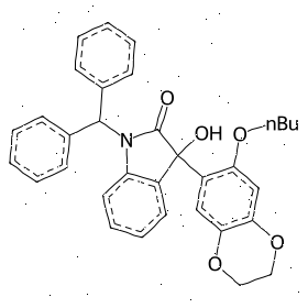 CCCCOc1cc2c(cc1C1(O)C(=O)N(C(c3ccccc3)c3ccccc3)c3ccccc31)OCCO2